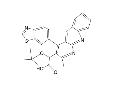 Cc1nc2nc3ccccc3cc2c(-c2ccc3ncsc3c2)c1C(OC(C)(C)C)C(=O)O